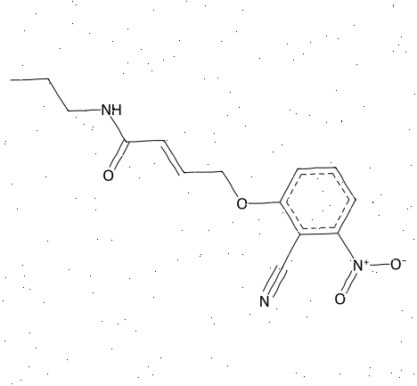 CCCNC(=O)/C=C/COc1cccc([N+](=O)[O-])c1C#N